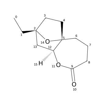 CC[C@]12CC[C@]3(CCCC(=O)O[C@H]3C1)O2